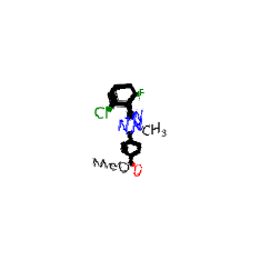 COC(=O)c1ccc(-c2nc(-c3c(F)cccc3Cl)nn2C)cc1